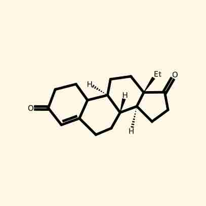 CC[C@]12CC[C@@H]3C4CCC(=O)C=C4CC[C@H]3[C@@H]1CCC2=O